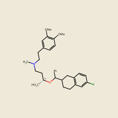 COc1ccc(CCN(C)CC[C@H](OC(C(C)C)C2CCc3cc(F)ccc3C2)C(=O)O)cc1OC